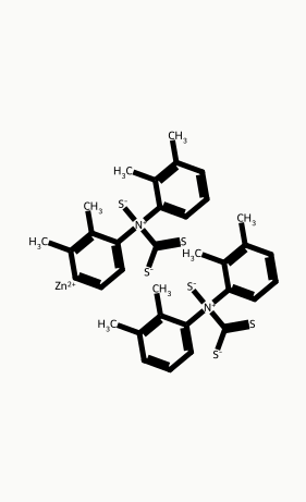 Cc1cccc([N+]([S-])(C(=S)[S-])c2cccc(C)c2C)c1C.Cc1cccc([N+]([S-])(C(=S)[S-])c2cccc(C)c2C)c1C.[Zn+2]